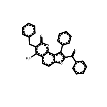 Cc1c(Cc2ccccc2)c(=O)oc2c1ccc1oc(C(=O)c3ccccc3)c(-c3ccccc3)c12